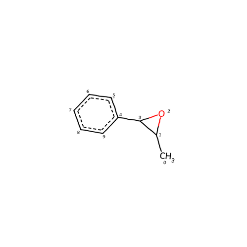 CC1OC1c1[c]cccc1